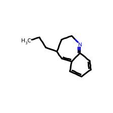 CCCC1C=c2ccccc2=NCC1